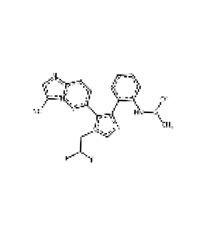 C[S+]([O-])Nc1ccccc1-c1ncn(CC(F)F)c1-c1ccc2ncc(C#N)n2n1